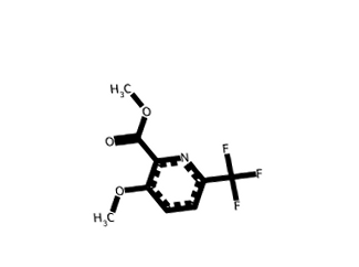 COC(=O)c1nc(C(F)(F)F)ccc1OC